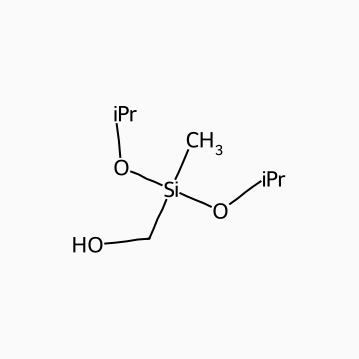 CC(C)O[Si](C)(CO)OC(C)C